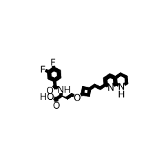 O=C(N[C@@H](CCOC1CC(CCc2ccc3c(n2)NCCC3)C1)C(=O)O)c1ccc(F)c(F)c1